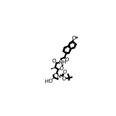 COc1ccc2cc(C(=O)CNC(=O)[C@H](C)[C@@H](OC)[C@@H]3C[C@H](O)CN3C(=O)OC(C)(C)C)ccc2c1